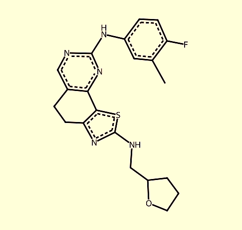 Cc1cc(Nc2ncc3c(n2)-c2sc(NCC4CCCO4)nc2CC3)ccc1F